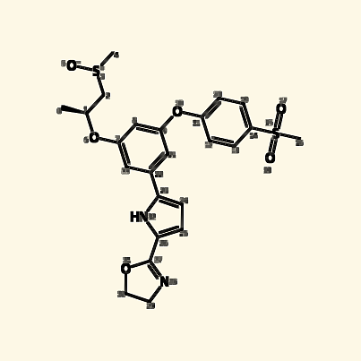 C[C@@H](C[S+](C)[O-])Oc1cc(Oc2ccc(S(C)(=O)=O)cc2)cc(-c2ccc(C3=NCCO3)[nH]2)c1